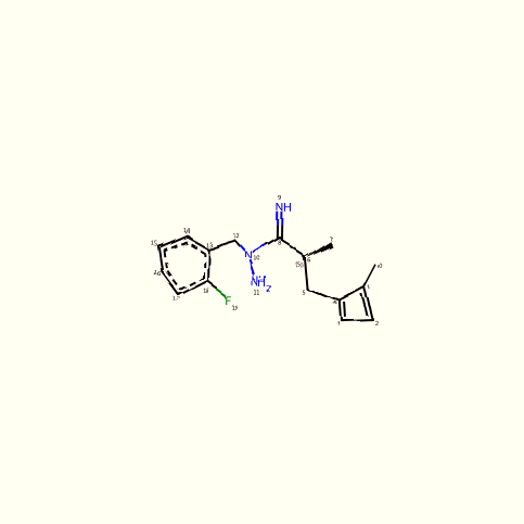 CC1=CC=C1C[C@H](C)C(=N)N(N)Cc1ccccc1F